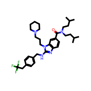 CC(C)CCN(CCC(C)C)C(=O)c1ccc2nc(NCc3ccc(CC(F)(F)F)cc3)n(CCCN3CCCCC3)c2c1